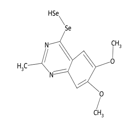 COc1cc2nc(C)nc([Se][SeH])c2cc1OC